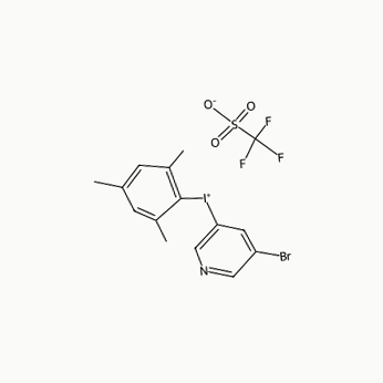 Cc1cc(C)c([I+]c2cncc(Br)c2)c(C)c1.O=S(=O)([O-])C(F)(F)F